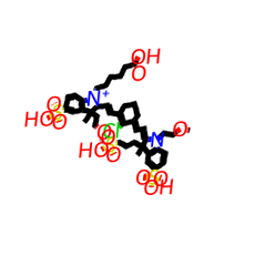 COCCN1/C(=C/C=C2\CCCC(/C=C/C3=[N+](CCCCCC(=O)O)c4ccc(S(=O)(=O)O)cc4C3(C)CCOC)=C2Cl)C(C)(CCCS(=O)(=O)O)c2cc(S(=O)(=O)O)ccc21